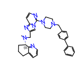 CN(Cc1cn2c(N3CCN(Cc4ccc(-c5ccccc5)cc4)CC3)nccc2n1)[C@H]1CCCc2cccnc21